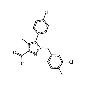 Cc1ccc(Cn2nc(C(=O)Cl)c(C)c2-c2ccc(Cl)cc2)cc1Cl